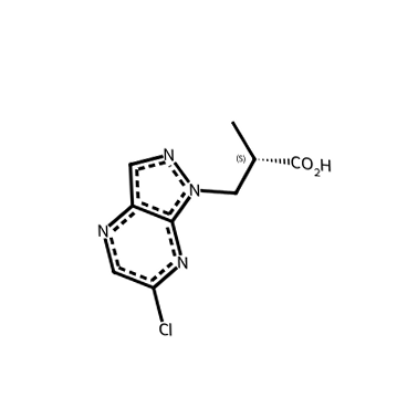 C[C@@H](Cn1ncc2ncc(Cl)nc21)C(=O)O